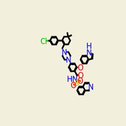 CC1(C)CCC(CN2CCN(c3ccc(C(=O)NS(=O)(=O)c4cccc5cnccc45)c(Oc4ccc5[nH]ccc5c4)c3)CC2)=C(c2ccc(Cl)cc2)C1